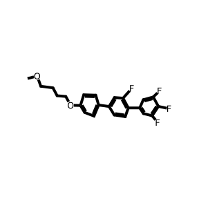 COCCCCOc1ccc(-c2ccc(-c3cc(F)c(F)c(F)c3)c(F)c2)cc1